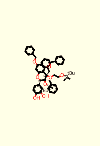 CC(C)(C)[Si](C)(C)OCCO[C@@]1(Cc2ccccc2)c2c(OCc3ccccc3)cc(OCc3ccccc3)cc2O[C@H](c2ccc(O)c(O)c2)[C@]1(Cc1ccccc1)O[Si](C)(C)C(C)(C)C